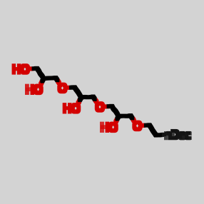 CCCCCCCCCCCCOCC(O)COCC(O)COCC(O)CO